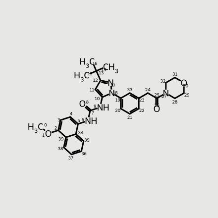 COc1ccc(NC(=O)Nc2cc(C(C)(C)C)nn2-c2cccc(CC(=O)N3CCOCC3)c2)c2ccccc12